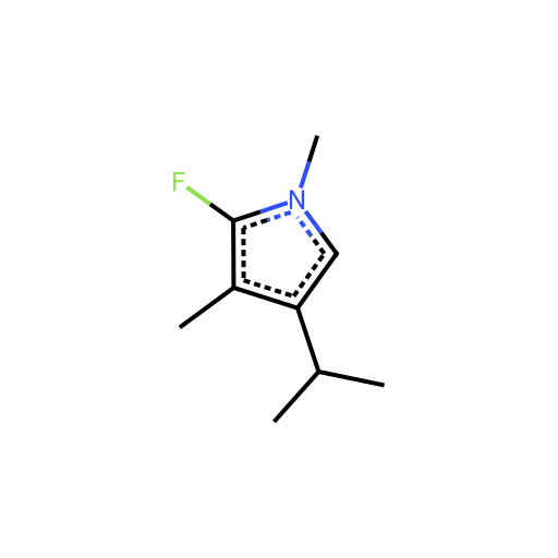 Cc1c(C(C)C)cn(C)c1F